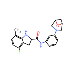 Cc1ccc(F)c2c1NC(C(=O)Nc1cccc(N3CC4CC(C3)O4)c1)C2